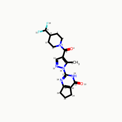 Cc1c(C(=O)N2CCC(C(F)F)CC2)cnn1-c1nc2c(c(=O)[nH]1)CCC2